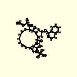 CC(C)S(=O)(=O)NC(=O)C12CC1C=CCCCCCC(NC(=O)OC(C)(C)C)C(=O)N1CC(Oc3nccc4ccccc34)CC1C(=O)N2